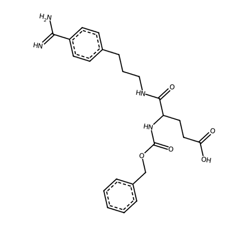 N=C(N)c1ccc(CCCNC(=O)C(CCC(=O)O)NC(=O)OCc2ccccc2)cc1